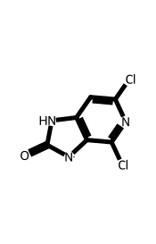 O=C1[N]c2c(cc(Cl)nc2Cl)N1